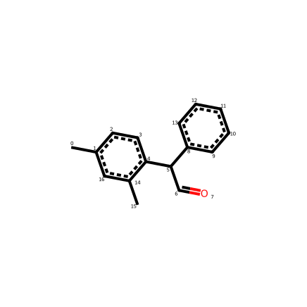 Cc1ccc(C(C=O)c2ccccc2)c(C)c1